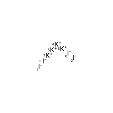 [I-].[I-].[I-].[I-].[K+].[K+].[K+].[K+]